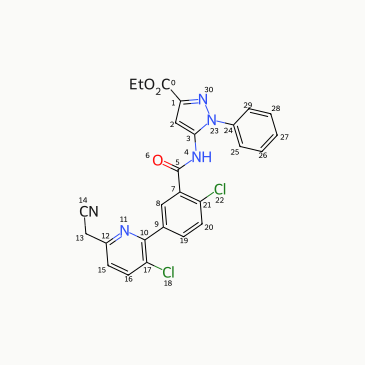 CCOC(=O)c1cc(NC(=O)c2cc(-c3nc(CC#N)ccc3Cl)ccc2Cl)n(-c2ccccc2)n1